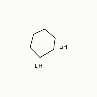 C1CCCCC1.[LiH].[LiH]